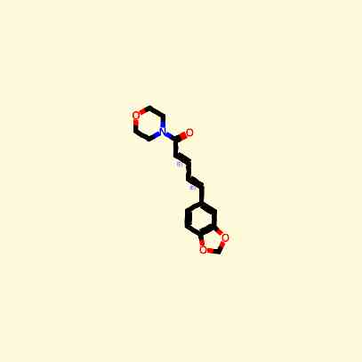 O=C(/C=C/C=C/c1ccc2c(c1)OCO2)N1CCOCC1